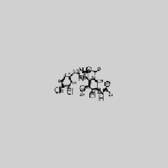 CCOc1nc(Cc2ccc(Cl)c(Cl)c2)nn1-c1ccc(NC(C)=O)c(Cl)c1OC